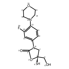 O=C1O[C@@](S)(CO)CN1c1ccc(N2CCOCC2)c(F)c1